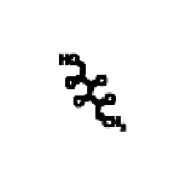 C=CC(=O)C(=O)C(=O)C(=O)CO